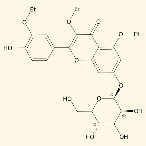 CCOc1cc(-c2oc3cc(O[C@@H]4OC(CO)[C@@H](O)C(O)[C@@H]4O)cc(OCC)c3c(=O)c2OCC)ccc1O